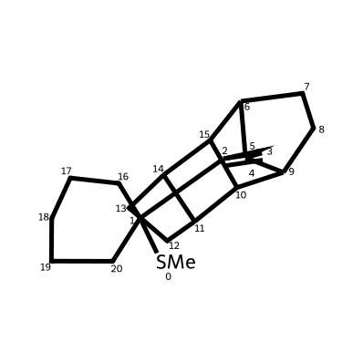 CSC1(C2=CC3(C2)C2CCC3C3C4CCC4C32)CCCCC1